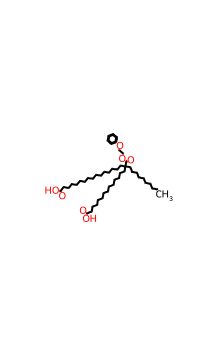 CCCCCCCCCCC(CCCCCCCCCCCCCCCC(=O)O)(CCCCCCCCCCCCCC(=O)O)C(=O)OCCOc1ccccc1